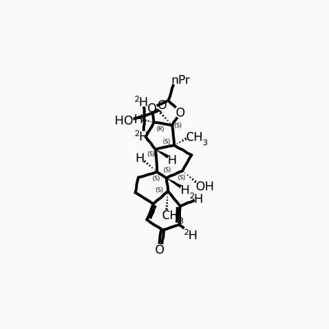 [2H]C1=C([2H])[C@@]2(C)C(=CC1=O)CC[C@@H]1[C@@H]2[C@@H](O)C[C@@]2(C)[C@H]1C[C@H]1OC(CCC)O[C@]12C(=O)C([2H])([2H])O